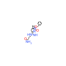 N=C(NCCCC(N)=O)[C@@H]1CC[C@@H]2CN1C(=O)N2OCc1ccccc1